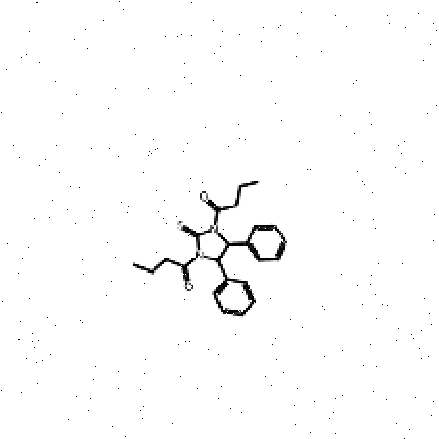 CCCC(=O)N1C(=S)N(C(=O)CCC)C(c2ccccc2)C1c1ccccc1